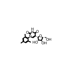 Cc1cc(C)c(-n2cc([C@@H]3O[C@H](CO)[C@@H](O)[C@H]3O)c(=O)[nH]c2=O)c(C)c1